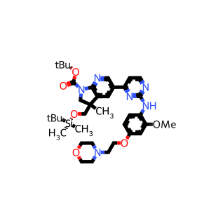 COc1cc(OCCN2CCOCC2)ccc1Nc1nccc(-c2cnc3c(c2)C(C)(CO[Si](C)(C)C(C)(C)C)CN3C(=O)OC(C)(C)C)n1